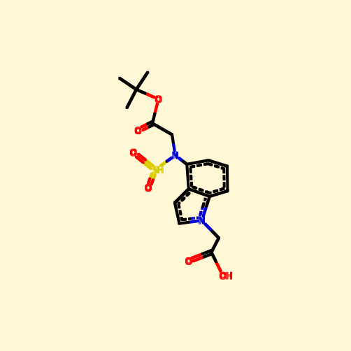 CC(C)(C)OC(=O)CN(c1cccc2c1ccn2CC(=O)O)[SH](=O)=O